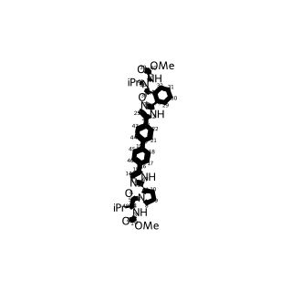 COC(=O)N[C@H](C(=O)N1CCC[C@H]1c1ncc(-c2ccc(-c3ccc(-c4cnc([C@@H]5CCCC[C@@H]5C(=O)N(NC(=O)OC)C(C)C)[nH]4)cc3)cc2)[nH]1)C(C)C